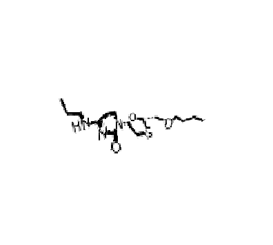 CCCCOC[C@H]1O[C@@H](n2ccc(NCCC)nc2=O)CS1